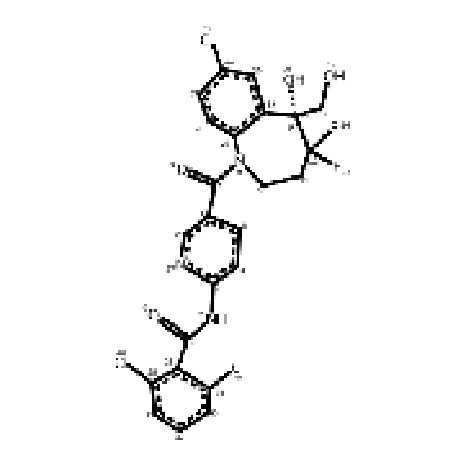 O=C(Nc1ccc(C(=O)N2CCC(F)(F)[C@](O)(CO)c3cc(Cl)ccc32)cn1)c1c(Cl)cccc1Cl